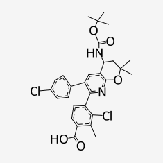 Cc1c(C(=O)O)ccc(-c2nc3c(cc2-c2ccc(Cl)cc2)C(NC(=O)OC(C)(C)C)CC(C)(C)O3)c1Cl